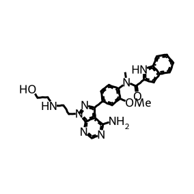 COc1cc(-c2nn(CCNCCO)c3ncnc(N)c23)ccc1N(C)C(=O)c1cc2ccccc2[nH]1